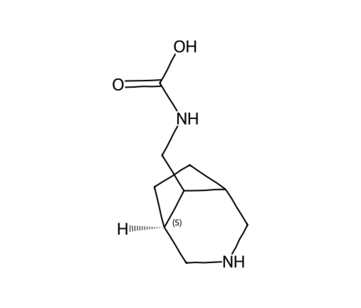 O=C(O)NCC1C2CC[C@@H]1CNC2